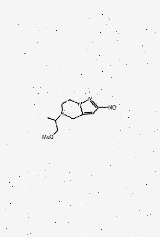 COCC(C)N1CCn2nc(N=O)cc2C1